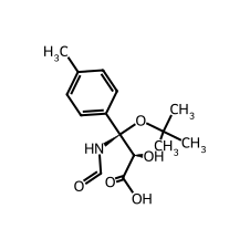 Cc1ccc([C@](NC=O)(OC(C)(C)C)[C@@H](O)C(=O)O)cc1